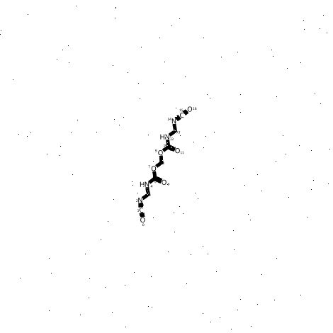 O=C=NCNC(=O)OCOC(=O)NCN=C=O